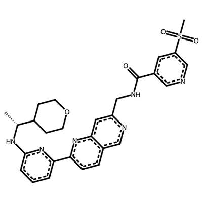 C[C@@H](Nc1cccc(-c2ccc3cnc(CNC(=O)c4cncc(S(C)(=O)=O)c4)cc3n2)n1)C1CCOCC1